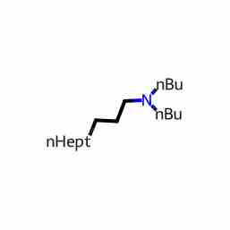 [CH2]CCCCCCCCCN(CCCC)CCCC